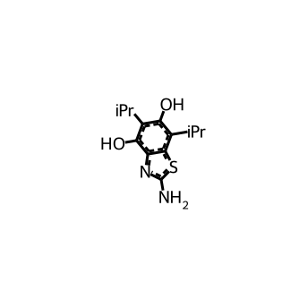 CC(C)c1c(O)c(C(C)C)c2sc(N)nc2c1O